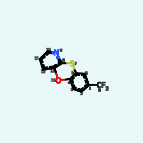 FC(F)(F)c1ccc2c(c1)Sc1ncccc1O2